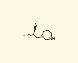 CC(C#N)CN1CCCNC1